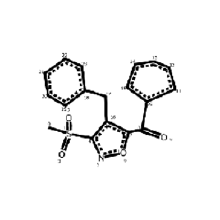 CS(=O)(=O)c1noc(C(=O)c2ccccc2)c1Cc1ccccc1